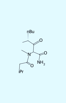 CCCC[C@@H](C)C(=O)C(C(N)=O)N(C)C(=O)CC(C)C